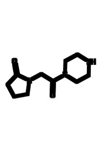 O=C(CN1CCCC1=O)N1CCNCC1